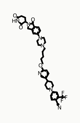 N#Cc1ccc(N2CCC(c3ccc(OCCCCCN4CCN(c5ccc6c(c5)CN(C5CCC(=O)NC5=O)C6=O)CC4)nc3)CC2)cc1C(F)(F)F